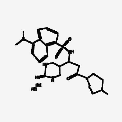 CC1CCN(C(=O)CC(NS(=O)(=O)c2cccc3c(N(C)C)cccc23)C2CNC(=N)NC2)CC1.Cl.Cl